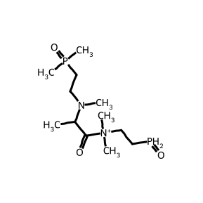 CC(C(=O)[N+](C)(C)CC[PH2]=O)N(C)CCP(C)(C)=O